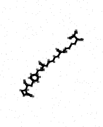 CCCC(CCCCNC(=O)CCCOCC(=O)NCc1ccc(CC(=O)N2CCC2=O)cc1)C(=O)CC